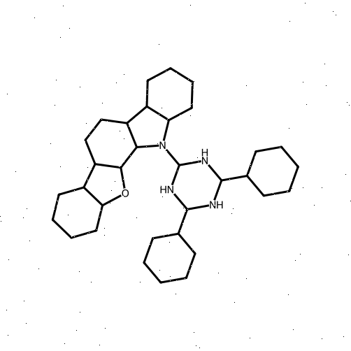 C1CCC(C2NC(C3CCCCC3)NC(N3C4CCCCC4C4CCC5C6CCCCC6OC5C43)N2)CC1